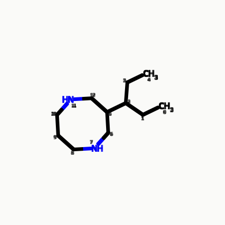 CCC(CC)C1CNCCCNC1